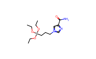 CCO[Si](CCCn1cnc(C(N)=O)c1)(OCC)OCC